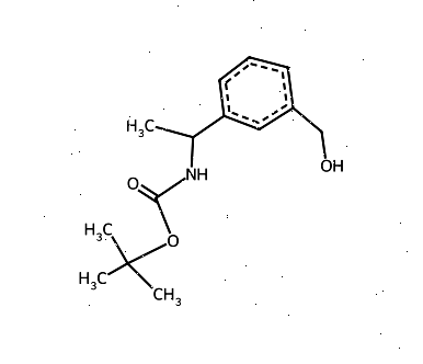 CC(NC(=O)OC(C)(C)C)c1cccc(CO)c1